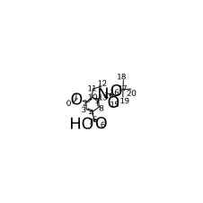 COc1cc(C(=O)O)cc2c1CCN2C(=O)OC(C)(C)C